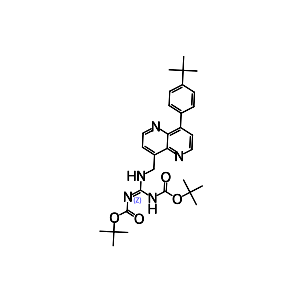 CC(C)(C)OC(=O)/N=C(/NCc1ccnc2c(-c3ccc(C(C)(C)C)cc3)ccnc12)NC(=O)OC(C)(C)C